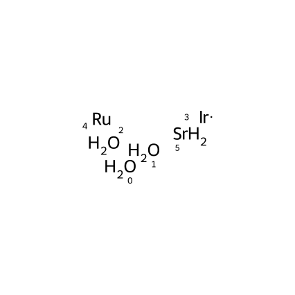 O.O.O.[Ir].[Ru].[SrH2]